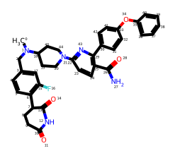 CN(Cc1ccc(C2CCC(=O)NC2=O)c(F)c1)C1CCN(c2ccc(C(N)=O)c(-c3ccc(Oc4ccccc4)cc3)n2)CC1